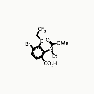 CCN(C(=O)OC)c1c(C(=O)O)ccc(Br)c1OCC(F)(F)F